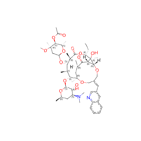 CC[C@H]1OC(=O)[C@H](C)[C@@H](OC2C[C@@](C)(OC)[C@@H](OC(C)=O)[C@H](C)O2)[C@H](C)[C@@H](O[C@@H]2O[C@H](C)C[C@H](N(C)C)[C@H]2O)[C@@]2(C)C[C@@H](C)C(=O)[C@H](C)[C@@H](OCC(=Cc3cnc4ccccc4c3)CO2)[C@]1(C)O